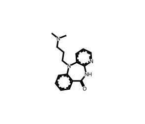 CN(C)CCCN1c2ccccc2C(=O)Nc2ncccc21